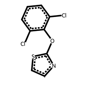 Clc1cccc(Cl)c1Oc1n[c]cs1